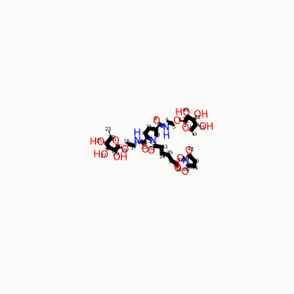 C[C@@H]1O[C@@H](OCCNC(=O)[C@@H]2CC[C@H](C(=O)NCCO[C@@H]3O[C@@H](C)[C@@H](O)[C@H](O)[C@H]3O)N(C(=O)CCCCC(=O)ON3C(=O)CCC3=O)C2)[C@H](O)[C@@H](O)[C@@H]1O